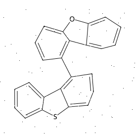 c1ccc2c(c1)oc1cccc(-c3cccc4sc5ccccc5c34)c12